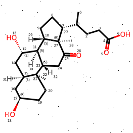 CC(CCC(=O)O)[C@H]1CC[C@H]2[C@@H]3[C@@H](O)C[C@@H]4C[C@H](O)CC[C@]4(C)[C@H]3CC(=O)[C@]12C